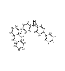 c1ccc(-c2ccc(Nc3ccc(-c4cccc5cc6ccccc6cc45)cc3)cc2)cc1